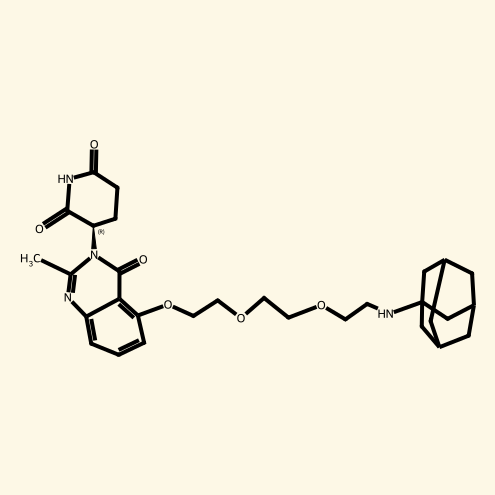 Cc1nc2cccc(OCCOCCOCCNC34CC5CC(CC(C5)C3)C4)c2c(=O)n1[C@@H]1CCC(=O)NC1=O